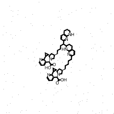 O=C(O)[C@H](c1cccnc1C1CC1)N1CC[C@@H](CCCCC(c2ccc3c(n2)NCCC3)C2CCc3ccc(CCCCC[C@@H]4CCN([C@@H](C(=O)O)c5cccnc5C5CC5)C4)nc3N2)C1